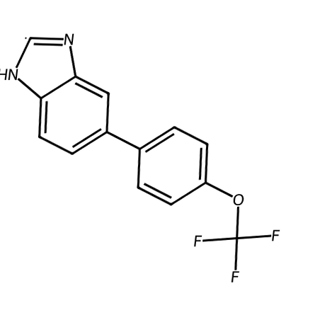 FC(F)(F)Oc1ccc(-c2ccc3[nH][c]nc3c2)cc1